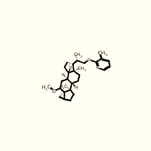 COC1C[C@H]2[C@@H]3CC[C@H]([C@H](C)COc4ncccc4C)[C@@]3(C)CC[C@@H]2[C@@]2(C)CCC3C[C@]312